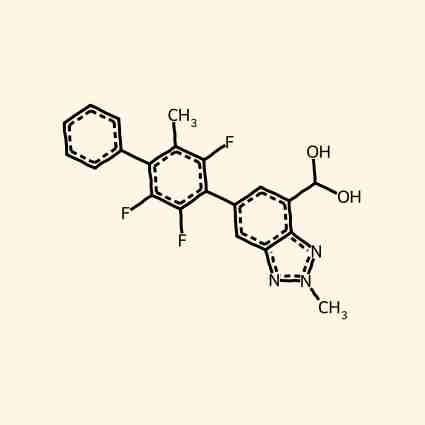 Cc1c(F)c(-c2cc(C(O)O)c3nn(C)nc3c2)c(F)c(F)c1-c1ccccc1